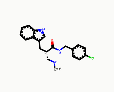 O=C(O)NC[C@H](Cc1c[nH]c2ccccc12)C(=O)NCc1ccc(Cl)cc1